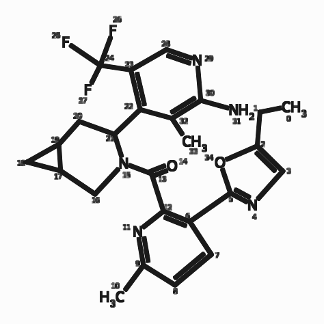 CCc1cnc(-c2ccc(C)nc2C(=O)N2CC3CC3CC2c2c(C(F)(F)F)cnc(N)c2C)o1